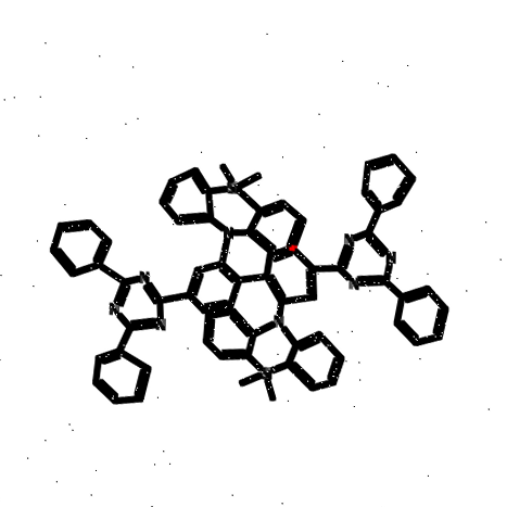 C[Si]1(C)c2ccccc2N(c2cc(-c3nc(-c4ccccc4)nc(-c4ccccc4)n3)ccc2-c2ccc(-c3nc(-c4ccccc4)nc(-c4ccccc4)n3)cc2N2c3ccccc3[Si](C)(C)c3ccccc32)c2ccccc21